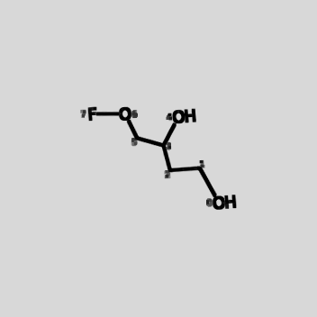 OCCC(O)COF